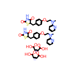 CN(CCOc1ccc(CC2SC(=O)NC2=O)cc1)c1ccccn1.CN(CCOc1ccc(CC2SC(=O)NC2=O)cc1)c1ccccn1.O=C(O)/C=C\C(=O)O.O=C(O)/C=C\C(=O)O